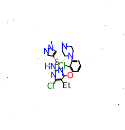 CCc1c(Cl)nc(NSc2cnn(C)c2)nc1Oc1cccc(N2CCN(C)CC2)c1Cl